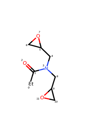 CCC(=O)N(CC1CO1)CC1CO1